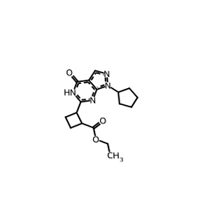 CCOC(=O)C1CCC1c1nc2c(cnn2C2CCCC2)c(=O)[nH]1